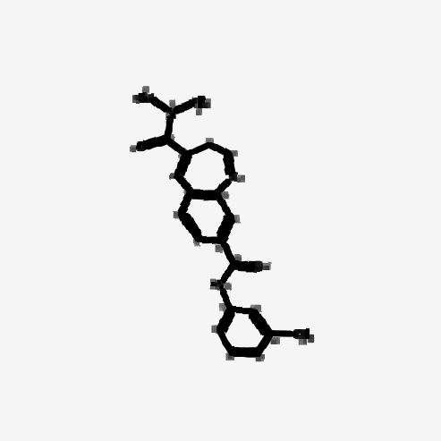 CCCCN(CCCC)C(=O)C1=Cc2ccc(C(=O)Nc3cccc(C)c3)cc2N=CC1